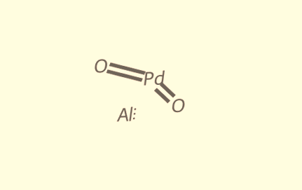 [Al].[O]=[Pd]=[O]